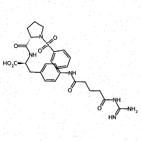 N=C(N)NC(=O)CCCC(=O)Nc1ccc(C[C@H](NC(=O)[C@@H]2CCCN2S(=O)(=O)c2ccccc2)C(=O)O)cc1